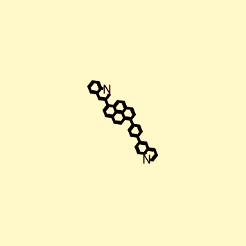 c1cnc2ccc(-c3ccc(-c4ccc5ccc6c(-c7cnc8ccccc8c7)ccc7ccc4c5c76)cc3)cc2c1